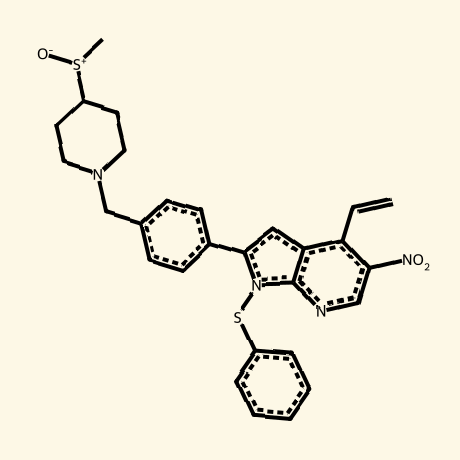 C=Cc1c([N+](=O)[O-])cnc2c1cc(-c1ccc(CN3CCC([S+](C)[O-])CC3)cc1)n2Sc1ccccc1